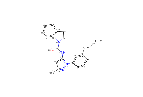 CCOC(=O)CCc1cccc(-n2nc(C(C)(C)C)cc2NC(=O)N2CCc3ccccc32)c1